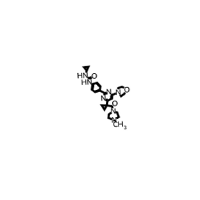 CN1CCN(C(=O)C2(c3cc(N4CCOCC4)nc(-c4ccc(NC(=O)NC5CC5)cc4)n3)CC2)CC1